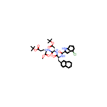 COC(=O)[C@H](CCC(=O)OC(C)(C)C)NC(=O)[C@H](CC(=O)OC(C)(C)C)NC(=O)[C@H](Cc1ccc2ccccc2c1)NC(=O)c1cc2c(Cl)cccc2[nH]1